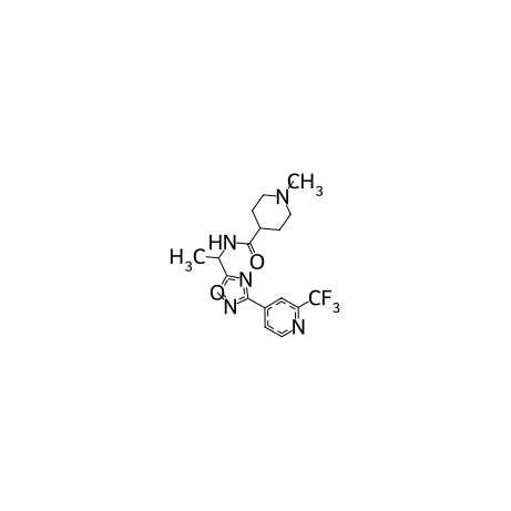 CC(NC(=O)C1CCN(C)CC1)c1nc(-c2ccnc(C(F)(F)F)c2)no1